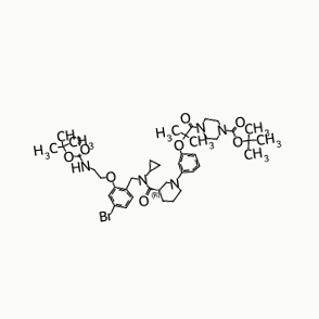 CC(C)(C)OC(=O)NCCOc1cc(Br)ccc1CN(C(=O)[C@@H]1CCCN(c2cccc(OC(C)(C)C(=O)N3CCN(C(=O)OC(C)(C)C)CC3)c2)C1)C1CC1